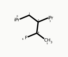 CC(C)CC(C(C)C)C(C)F